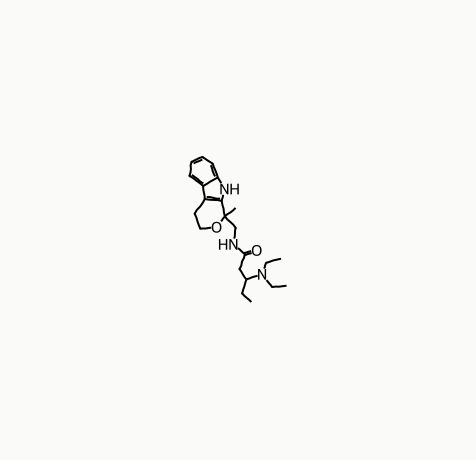 CCC(CC(=O)NCC1(C)OCCc2c1[nH]c1ccccc21)N(CC)CC